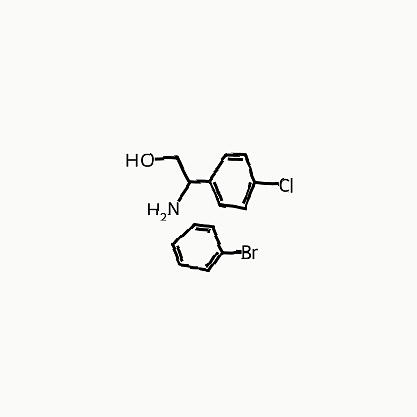 Brc1ccccc1.NC(CO)c1ccc(Cl)cc1